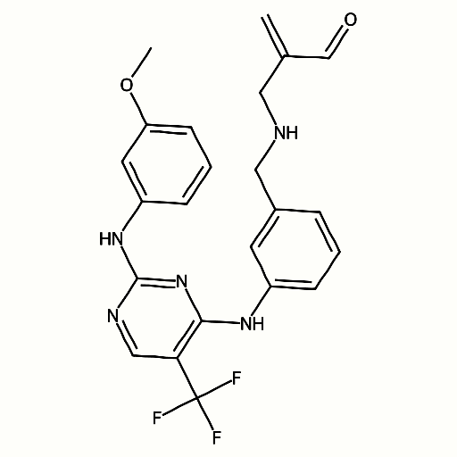 C=C(C=O)CNCc1cccc(Nc2nc(Nc3cccc(OC)c3)ncc2C(F)(F)F)c1